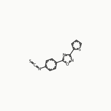 S=C=Nc1ccc(-c2nc(-c3cccs3)no2)cc1